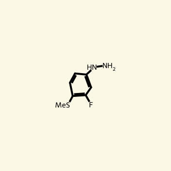 CSc1ccc(NN)cc1F